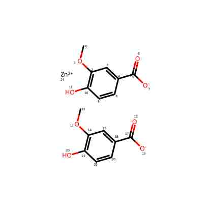 COc1cc(C(=O)[O-])ccc1O.COc1cc(C(=O)[O-])ccc1O.[Zn+2]